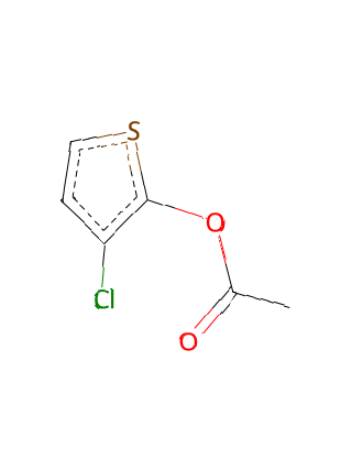 CC(=O)Oc1sccc1Cl